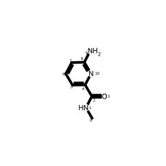 CNC(=O)c1cccc(N)n1